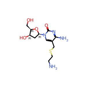 NCCSCc1cn([C@H]2C[C@@H](O)[C@@H](CO)O2)c(=O)nc1N